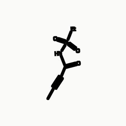 CC#CC(=O)NS(=O)(=O)CC